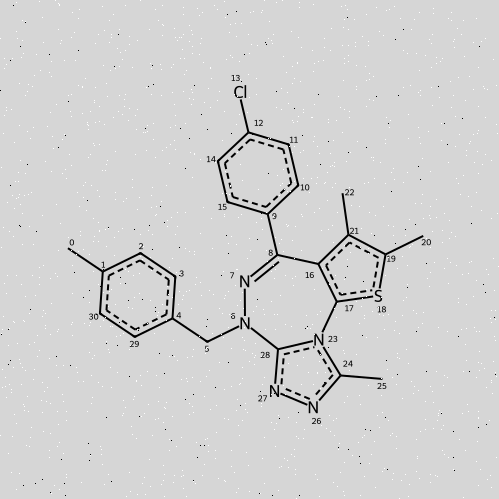 Cc1ccc(CN2N=C(c3ccc(Cl)cc3)c3c(sc(C)c3C)-n3c(C)nnc32)cc1